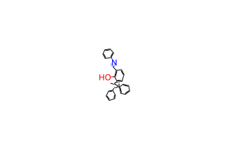 C[Si](c1ccccc1)(c1ccccc1)c1cccc(/C=N/c2ccccc2)c1O